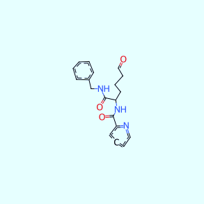 O=CCCCC(NC(=O)c1ccccn1)C(=O)NCc1ccccc1